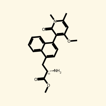 COC(=O)[C@@H](N)Cc1ccc(-c2c(OC)cc(C)n(C)c2=O)c2ccccc12